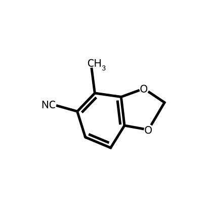 Cc1c(C#N)ccc2c1OCO2